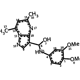 COc1ccc(NC(O)c2cnn3c(C)cc(C)nc23)cc1OC